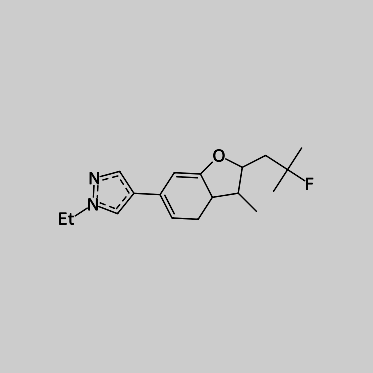 CCn1cc(C2=CCC3C(=C2)OC(CC(C)(C)F)C3C)cn1